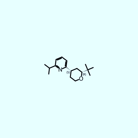 CC(C)c1cccc([C@H]2CCO[C@@H](C(C)(C)C)C2)n1